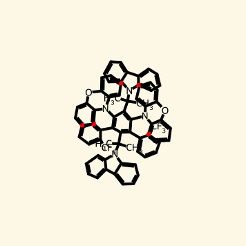 CC(C)(c1c(-c2ccccc2C(F)(F)F)c(N2c3ccccc3Oc3ccccc32)c(C(C)(C)n2c3ccccc3c3ccccc32)c(N2c3ccccc3Oc3ccccc32)c1-c1ccccc1C(F)(F)F)n1c2ccccc2c2ccccc21